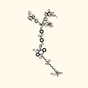 CP(O)(=S)OCCCCCCNC(=O)CCCCC(=O)N1Cc2ccccc2/C(NCCOc2ccc(C(=O)Oc3ccc(CS[P@](NCC4C[C@H](n5cnc6c(=O)[nH]c(N)nc65)O[C@@H]4CO[P@@](N)(=O)S)OC[C@@H]4CC[C@H](n5cnc6c(N)ncnc65)O4)cc3)cc2)=C(/N)c2ccccc21